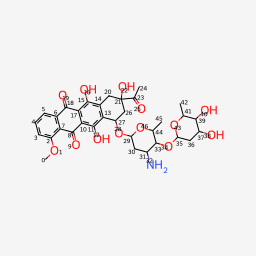 COc1cccc2c1C(=O)c1c(O)c3c(c(O)c1C2=O)CC(O)(C(C)=O)CC3OC1CC(N)C(OC2CC(O)C(O)C(C)O2)C(C)O1